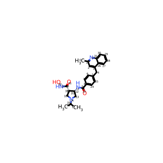 Cc1cc(Cc2ccc(C(=O)N[C@@H]3CN(C(C)C)C[C@@H]3C(=O)NO)cc2)c2ccccc2n1